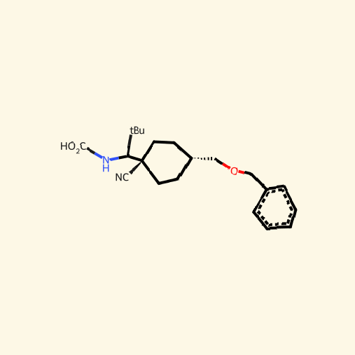 CC(C)(C)C(NC(=O)O)[C@]1(C#N)CC[C@H](COCc2ccccc2)CC1